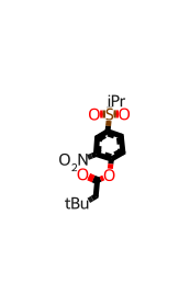 CC(C)S(=O)(=O)c1ccc(OC(=O)CC(C)(C)C)c([N+](=O)[O-])c1